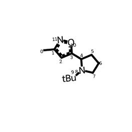 Cc1cc(C2CCCN2C(C)(C)C)on1